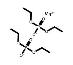 CCOP(=O)([O-])OCC.CCOP(=O)([O-])OCC.[Mg+2]